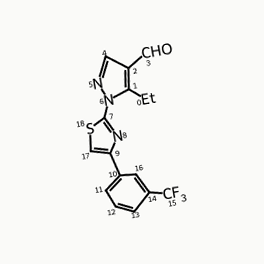 CCc1c(C=O)cnn1-c1nc(-c2cccc(C(F)(F)F)c2)cs1